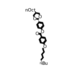 CCCCCCCC[C@H]1CO[C@H](c2ccc(OC(=O)c3ccc(OCCCCC[C@@H](C)CC)cc3)cc2)OC1